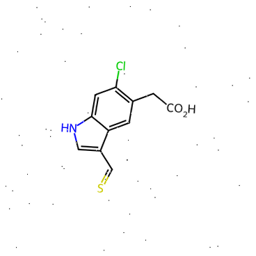 O=C(O)Cc1cc2c(C=S)c[nH]c2cc1Cl